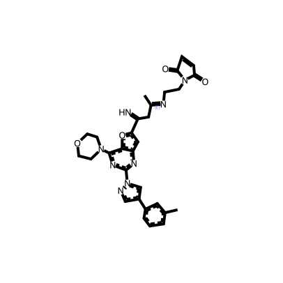 C/C(CC(=N)c1cc2nc(-n3cc(-c4cccc(C)c4)cn3)nc(N3CCOCC3)c2o1)=N\CCN1C(=O)C=CC1=O